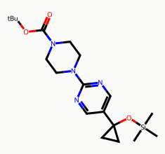 CC(C)(C)OC(=O)N1CCN(c2ncc(C3(O[Si](C)(C)C)CC3)cn2)CC1